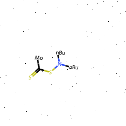 CCCCN(CCCC)S[C](=S)[Mo]